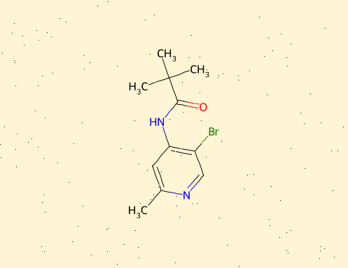 Cc1cc(NC(=O)C(C)(C)C)c(Br)cn1